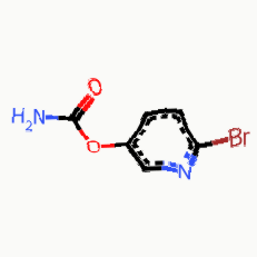 NC(=O)Oc1ccc(Br)nc1